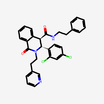 O=C(NCCc1ccccc1)[C@@H]1c2ccccc2C(=O)N(CCc2cccnc2)[C@H]1c1ccc(Cl)cc1Cl